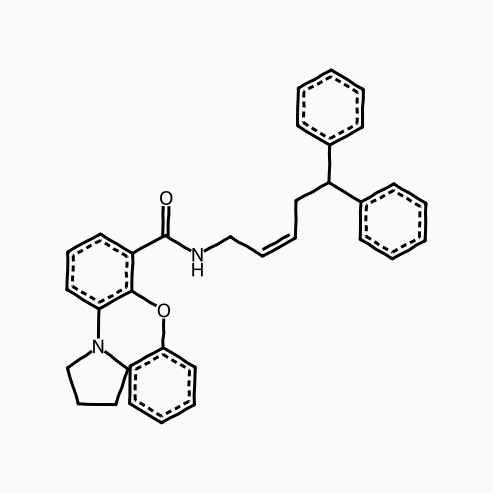 O=C(NC/C=C\CC(c1ccccc1)c1ccccc1)c1cccc(N2CCCC2)c1Oc1ccccc1